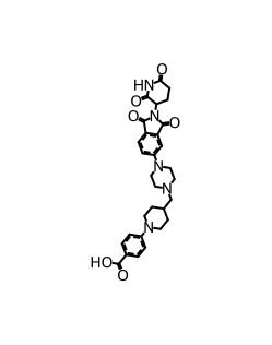 O=C1CCC(N2C(=O)c3ccc(N4CCN(CC5CCN(c6ccc(C(=O)O)cc6)CC5)CC4)cc3C2=O)C(=O)N1